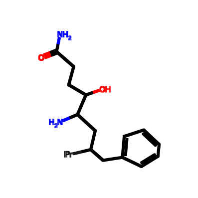 CC(C)C(Cc1ccccc1)CC(N)C(O)CCC(N)=O